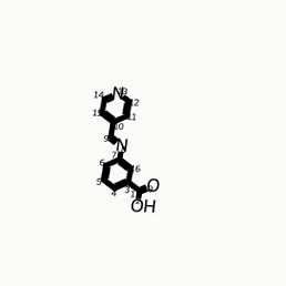 O=C(O)c1cccc(/N=C/c2ccncc2)c1